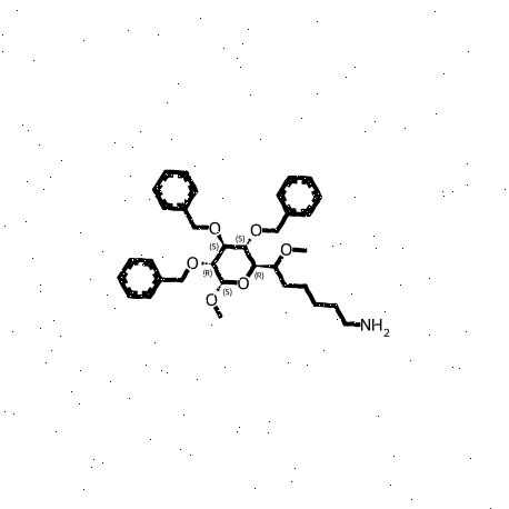 COC(CCCCCN)[C@H]1O[C@H](OC)[C@H](OCc2ccccc2)[C@@H](OCc2ccccc2)[C@@H]1OCc1ccccc1